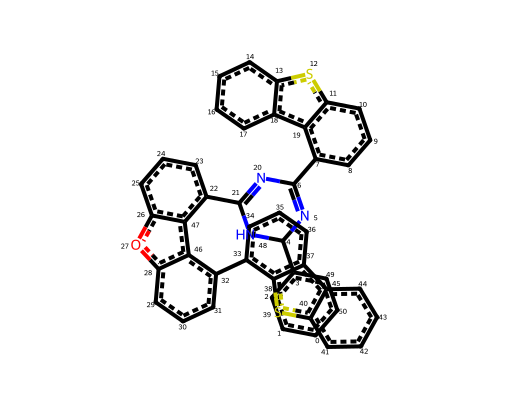 c1ccc(C2N=C(c3cccc4sc5ccccc5c34)N=C(c3cccc4oc5cccc(-c6cccc7c6sc6ccccc67)c5c34)N2)cc1